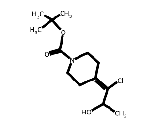 CC(O)C(Cl)=C1CCN(C(=O)OC(C)(C)C)CC1